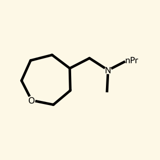 CCCN(C)CC1CCCOCC1